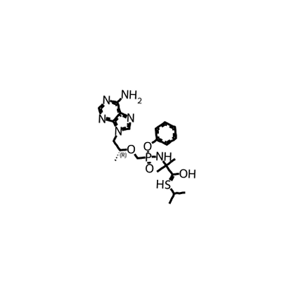 CC(C)[SH]=C(O)C(C)(C)NP(=O)(CO[C@H](C)Cn1cnc2c(N)ncnc21)Oc1ccccc1